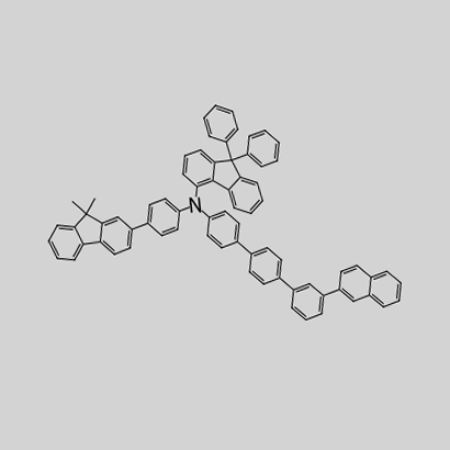 CC1(C)c2ccccc2-c2ccc(-c3ccc(N(c4ccc(-c5ccc(-c6cccc(-c7ccc8ccccc8c7)c6)cc5)cc4)c4cccc5c4-c4ccccc4C5(c4ccccc4)c4ccccc4)cc3)cc21